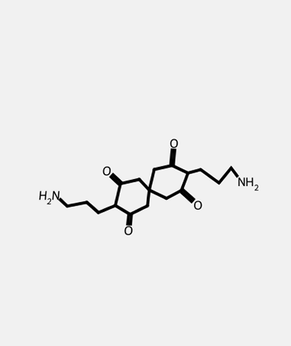 NCCCC1C(=O)CC2(CC1=O)CC(=O)C(CCCN)C(=O)C2